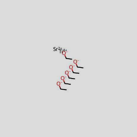 CC[O-].CC[O-].CC[O-].CC[O-].CC[O-].CC[O-].[Sr+2].[Ti+4]